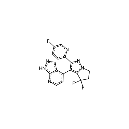 Fc1ccc(-c2nn3c(c2-c2ccnc4[nH]ncc24)C(F)(F)CC3)nc1